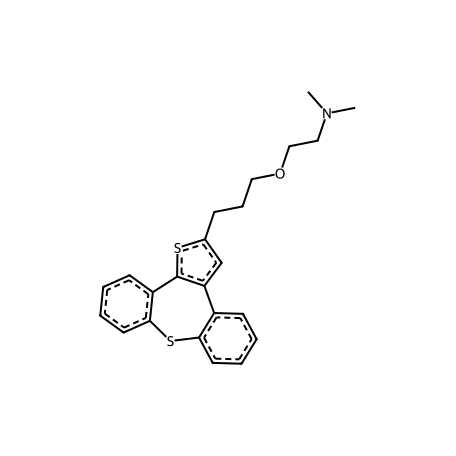 CN(C)CCOCCCc1cc2c(s1)-c1ccccc1Sc1ccccc1-2